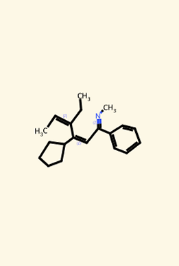 C\C=C(CC)/C(=C\C(=N\C)c1ccccc1)C1CCCC1